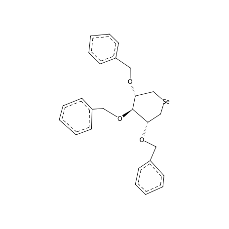 c1ccc(CO[C@@H]2[C@@H](OCc3ccccc3)C[Se]C[C@H]2OCc2ccccc2)cc1